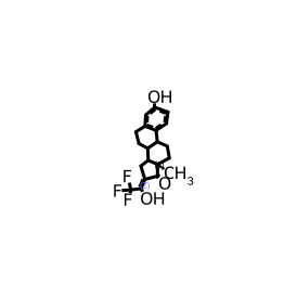 C[C@]12CCC3c4ccc(O)cc4CCC3C1C/C(=C(/O)C(F)(F)F)C2=O